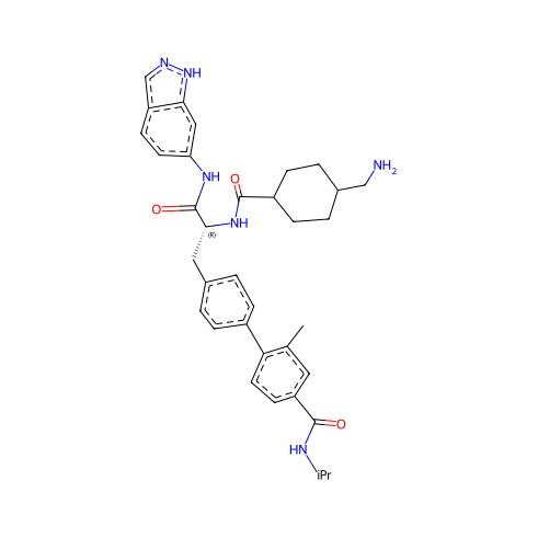 Cc1cc(C(=O)NC(C)C)ccc1-c1ccc(C[C@@H](NC(=O)C2CCC(CN)CC2)C(=O)Nc2ccc3cn[nH]c3c2)cc1